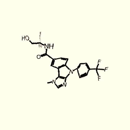 C[C@@H](CO)NC(=O)c1ccc2c(c1)c1c(ncn1C)n2-c1ccc(C(F)(F)F)cc1